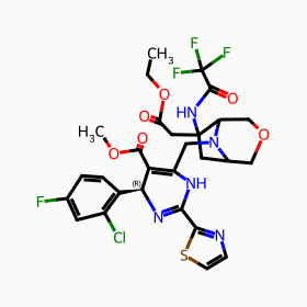 CCOC(=O)CC1(NC(=O)C(F)(F)F)CC2COCC1N2CC1=C(C(=O)OC)[C@H](c2ccc(F)cc2Cl)N=C(c2nccs2)N1